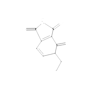 O=C1NC(=O)C2=C1C=CC(CCl)C2=S